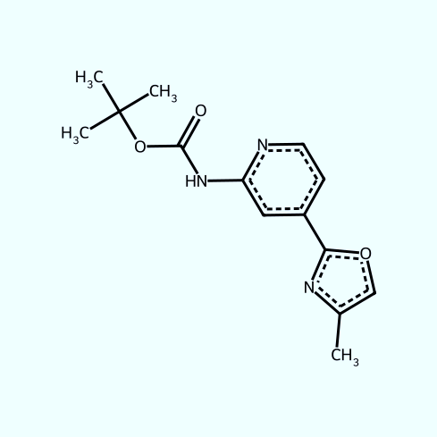 Cc1coc(-c2ccnc(NC(=O)OC(C)(C)C)c2)n1